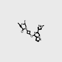 CC#CC(=O)N(CC(F)F)C1CC(Oc2nc(-c3cnn(C)c3)cn3nccc23)C1